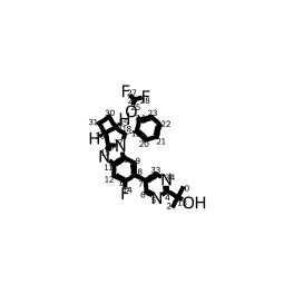 CC(C)(O)c1ncc(-c2cc3c(cc2F)nc2n3[C@@H](c3ccccc3OC(F)F)[C@H]3CC[C@@H]23)cn1